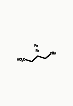 CCCCCCCC(=O)O.[Fe].[Fe]